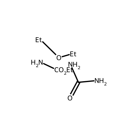 CCOC(N)=O.CCOCC.NC(N)=O